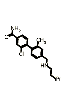 Cc1cc(CNCCC(C)C)ccc1-c1ccc(C(N)=O)cc1Cl